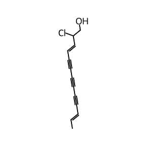 CC=CC#CC#CC#CC=CC(Cl)CO